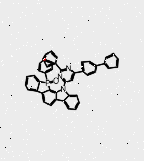 O=P1(c2ccccc2)c2ccccc2-c2ccc3c4ccccc4n(-c4cc(-c5ccc(-c6ccccc6)cc5)nc(-c5ccccc5)n4)c3c21